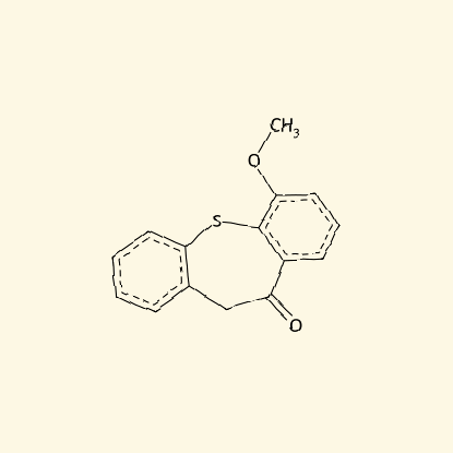 COc1cccc2c1Sc1ccccc1CC2=O